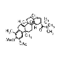 COc1c(OC(C)=O)cc2c(c1C)CC=C1[C@@]2(C)CC[C@@]2(C)[C@@H]3C[C@](C)(C(=O)N(C)C)CC[C@]3(C)CC[C@]12C